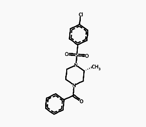 C[C@@H]1CN(C(=O)c2ccccc2)CCN1S(=O)(=O)c1ccc(Cl)cc1